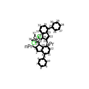 CCCC1=Cc2c(-c3ccccc3)cccc2[CH]1[Zr]([Cl])([Cl])([CH]1C(CCC)=Cc2c(-c3ccccc3)cccc21)=[Si](C)C